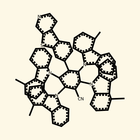 Cc1cccc2c1c1ccccc1n2-c1c(C#N)c(-n2c3ccccc3c3c(C)cccc32)c(-n2c3ccccc3c3c(C)cccc32)c(-c2ccc3c(c2)sc2cnccc23)c1-n1c2ccccc2c2c(C)cccc21